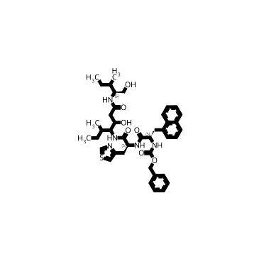 CCC(C)C(NC(=O)[C@H](Cc1cscn1)NC(=O)[C@H](Cc1cccc2ccccc12)NC(=O)OCc1ccccc1)C(O)CC(=O)N[C@H](CO)C(C)CC